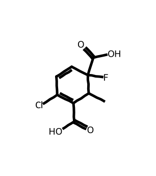 CC1C(C(=O)O)=C(Cl)C=CC1(F)C(=O)O